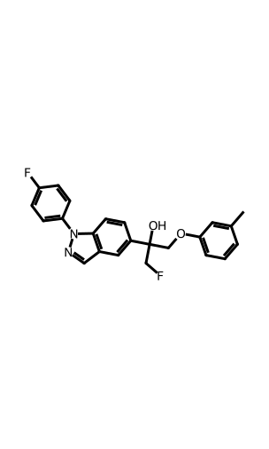 Cc1cccc(OCC(O)(CF)c2ccc3c(cnn3-c3ccc(F)cc3)c2)c1